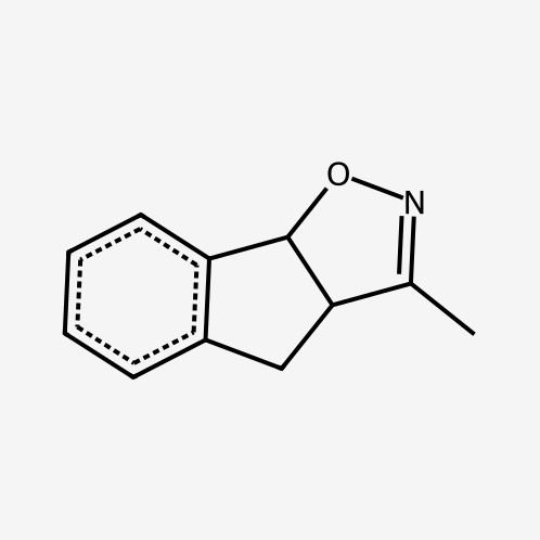 CC1=NOC2c3ccccc3CC12